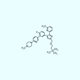 Cc1cccc(-c2nn(COCC[Si](C)(C)C)cc2-c2ccc(F)c(-c3ccc(N4CCN(C)CC4)nc3)c2)n1